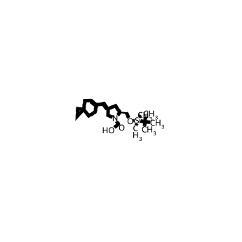 CC(C)(C)[Si](C)(C)OC[C@@H]1CC(=CC2=CCC3(CC2)CC3)CN1C(=O)O